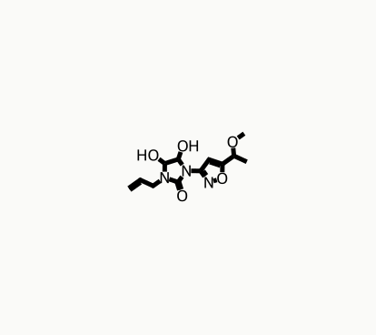 C=CCN1C(=O)N(c2cc(C(C)OC)on2)C(O)C1O